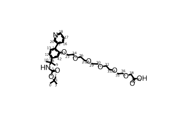 CC(C)(C)OC(=O)NC(C)(C)c1ccc(-c2cccnc2)c(OCCOCCOCCOCCOCCOCC(=O)O)c1